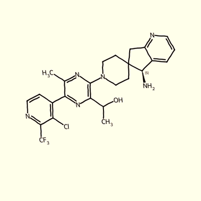 Cc1nc(N2CCC3(CC2)Cc2ncccc2[C@H]3N)c(C(C)O)nc1-c1ccnc(C(F)(F)F)c1Cl